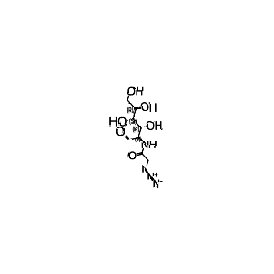 [N-]=[N+]=NCC(=O)N[C@@H](C=O)[C@@H](O)[C@H](O)[C@H](O)CO